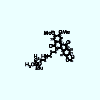 COc1cc2c3c(n(CCCNCCO[Si](C)(C)C(C)(C)C)c(=O)c2cc1OC)-c1cc2c(cc1C3=O)OCO2